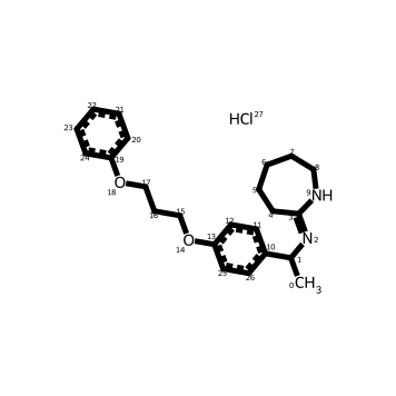 CC(N=C1CCCCCN1)c1ccc(OCCCOc2ccccc2)cc1.Cl